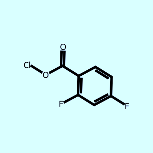 O=C(OCl)c1ccc(F)cc1F